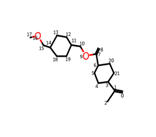 C=C(C)C1CCC(C(=C)OCC2CCC(COC)CC2)CC1